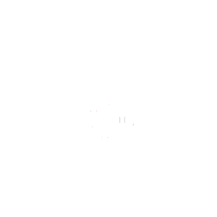 CC(=O)OC(C)(C)c1ccccc1C